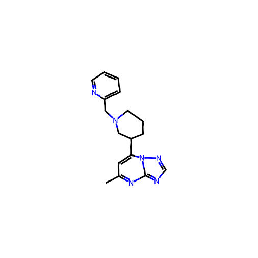 Cc1cc(C2CCCN(Cc3ccccn3)C2)n2ncnc2n1